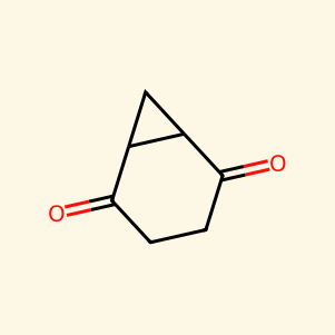 O=C1CCC(=O)C2CC12